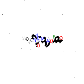 O=C(O)c1ccc2nc(CN3CCC(c4cccc(OCc5cc6ccoc6cc5F)n4)CC3)n(C[C@@H]3CCO3)c2n1